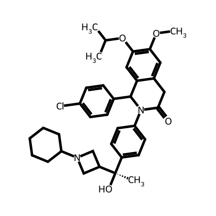 COc1cc2c(cc1OC(C)C)C(c1ccc(Cl)cc1)N(c1ccc([C@@](C)(O)C3CN(C4CCCCC4)C3)cc1)C(=O)C2